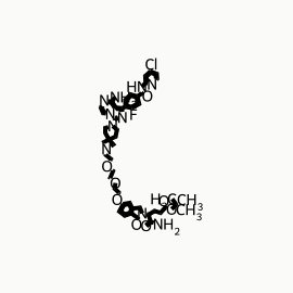 CC(C)(C)OC(=O)CCC(C(N)=O)N1Cc2cc(OCCOCCOCCN3CC4(CCN(c5nc(-c6ccc(C(=O)Nc7cc(Cl)ccn7)cc6F)c6c(N)nccn56)CC4)C3)ccc2C1=O